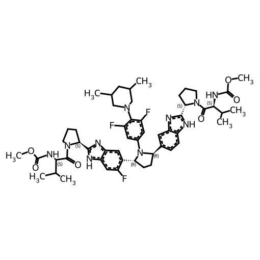 COC(=O)N[C@H](C(=O)N1CCC[C@H]1c1nc2cc([C@H]3CC[C@H](c4cc5nc([C@@H]6CCCN6C(=O)[C@@H](NC(=O)OC)C(C)C)[nH]c5cc4F)N3c3cc(F)c(N4CC(C)CC(C)C4)c(F)c3)ccc2[nH]1)C(C)C